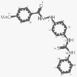 COc1ccc(C(=O)NNc2ccc(NC(=S)Nc3ccccc3)cc2)cc1